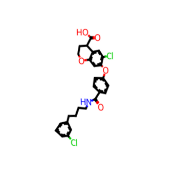 O=C(NCCCCc1cccc(Cl)c1)c1ccc(Oc2cc3c(cc2Cl)C(C(=O)O)CCO3)cc1